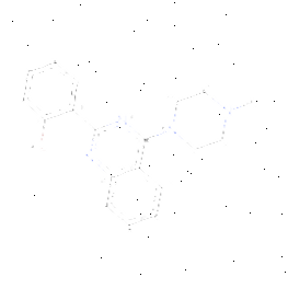 CN1CCN(c2nc(-c3ccccc3Br)nc3ccccc23)CC1